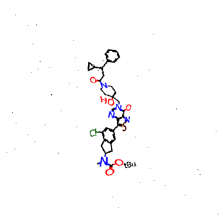 CN(C(=O)OC(C)(C)C)C1Cc2cc(-c3snc4c(=O)n(CC5(O)CCN(C(=O)CC(c6ccccc6)C6CC6)CC5)cnc34)cc(Cl)c2C1